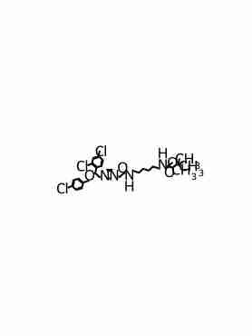 CC(C)(C)OC(=O)NCCCCCCNC(=O)CN1C=CN(CC(OCc2ccc(Cl)cc2)c2ccc(Cl)cc2Cl)C1